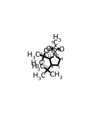 CC(C)(C)C1CCN(S(C)(=O)=O)C1C(C)(C)C